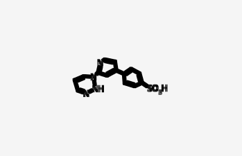 O=S(=O)(O)c1ccc(-c2ccnc(N3C=CC=NN3)c2)cc1